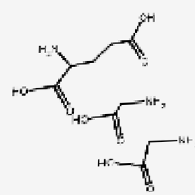 NC(CCC(=O)O)C(=O)O.NCC(=O)O.NCC(=O)O